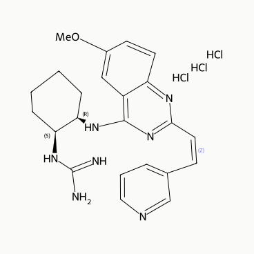 COc1ccc2nc(/C=C\c3cccnc3)nc(N[C@@H]3CCCC[C@@H]3NC(=N)N)c2c1.Cl.Cl.Cl